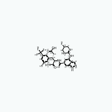 NC(=O)C(NC(=O)c1cc(NC2=NCC(F)CN2)c2cn[nH]c2c1)[C@@H](CC(=O)O)c1cc(F)cc(C(F)(F)F)c1